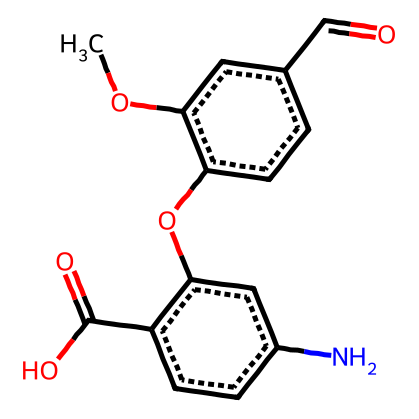 COc1cc(C=O)ccc1Oc1cc(N)ccc1C(=O)O